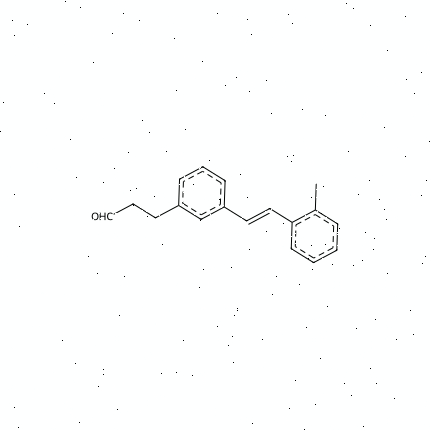 Cc1ccccc1/C=C/c1cccc(CCC=O)c1